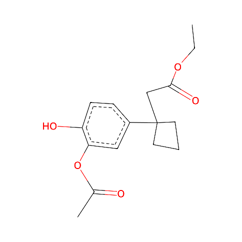 CCOC(=O)CC1(c2ccc(O)c(OC(C)=O)c2)CCC1